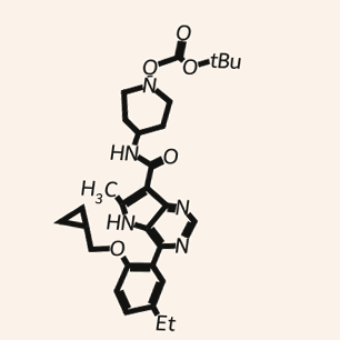 CCc1ccc(OCC2CC2)c(-c2ncnc3c(C(=O)NC4CCN(OC(=O)OC(C)(C)C)CC4)c(C)[nH]c23)c1